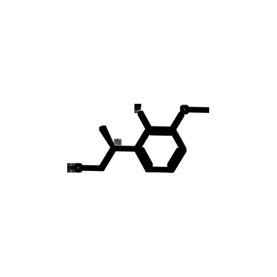 COc1cccc([C@H](C)CO)c1F